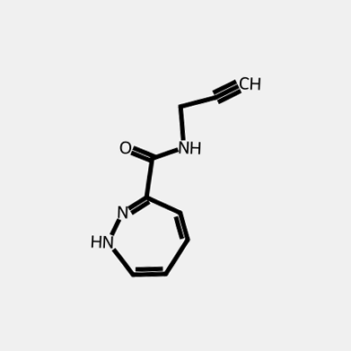 C#CCNC(=O)C1=NNC=CC=C1